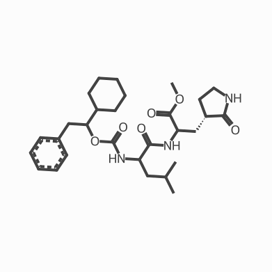 COC(=O)C(C[C@@H]1CCNC1=O)NC(=O)C(CC(C)C)NC(=O)OC(Cc1ccccc1)C1CCCCC1